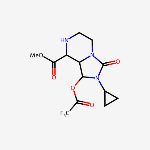 COC(=O)C1NCCN2C(=O)N(C3CC3)C(OC(=O)C(F)(F)F)C12